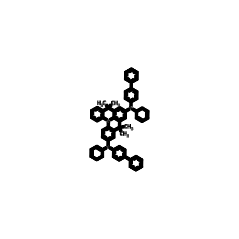 CC1(C)c2ccccc2N2c3ccc(N(C4=CC=CCC4)c4ccc(-c5ccccc5)cc4)cc3C(C)(C)c3cc(N(c4ccc(-c5ccccc5)cc4)C4C=CC=CC4)cc1c32